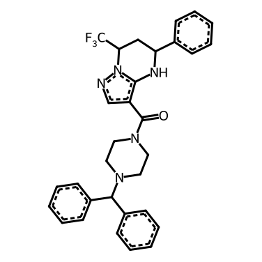 O=C(c1cnn2c1NC(c1ccccc1)CC2C(F)(F)F)N1CCN(C(c2ccccc2)c2ccccc2)CC1